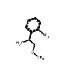 CC(CO[SiH3])c1ccccc1N